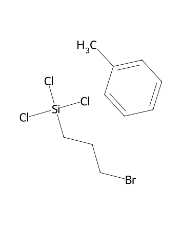 Cc1ccccc1.Cl[Si](Cl)(Cl)CCCBr